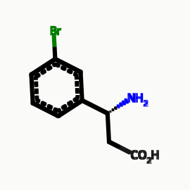 N[C@H](CC(=O)O)c1cccc(Br)c1